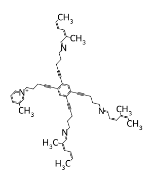 C\C=C/C=C(C)\C=N\CCCC#Cc1cc(C#CCCC[n+]2cccc(C)c2)c(C#CCCC/N=C/C(C)=C\C=C/C)cc1C#CCCC/N=C/C=C\C(C)=C/C